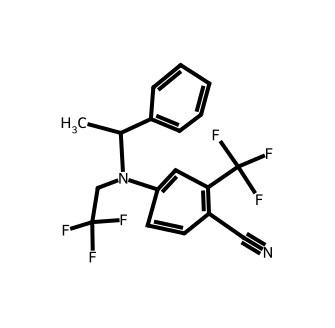 CC(c1ccccc1)N(CC(F)(F)F)c1ccc(C#N)c(C(F)(F)F)c1